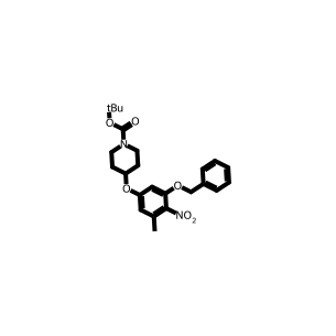 Cc1cc(OC2CCN(C(=O)OC(C)(C)C)CC2)cc(OCc2ccccc2)c1[N+](=O)[O-]